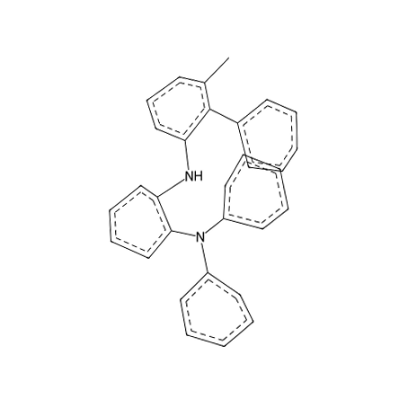 Cc1cccc(Nc2ccccc2N(c2ccccc2)c2ccccc2)c1-c1ccccc1